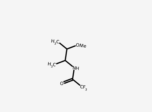 COC(C)C(C)NC(=O)C(F)(F)F